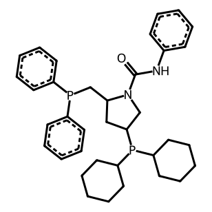 O=C(Nc1ccccc1)N1CC(P(C2CCCCC2)C2CCCCC2)CC1CP(c1ccccc1)c1ccccc1